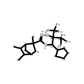 CC1C2CC(C1C)C(C)(C(=O)OC(C1CCCC1)C(O)(C(F)(F)F)C(F)(F)F)C2